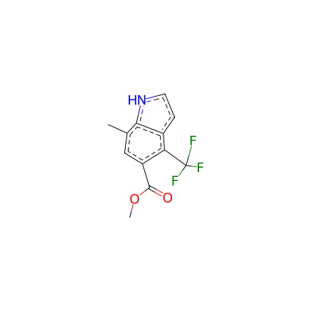 COC(=O)c1cc(C)c2[nH]ccc2c1C(F)(F)F